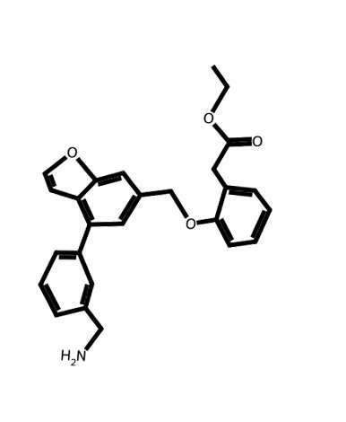 CCOC(=O)Cc1ccccc1OCc1cc(-c2cccc(CN)c2)c2ccoc2c1